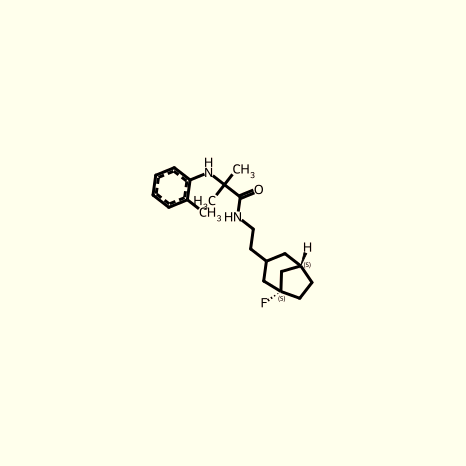 Cc1ccccc1NC(C)(C)C(=O)NCCC1C[C@@H]2CC[C@@](F)(C1)C2